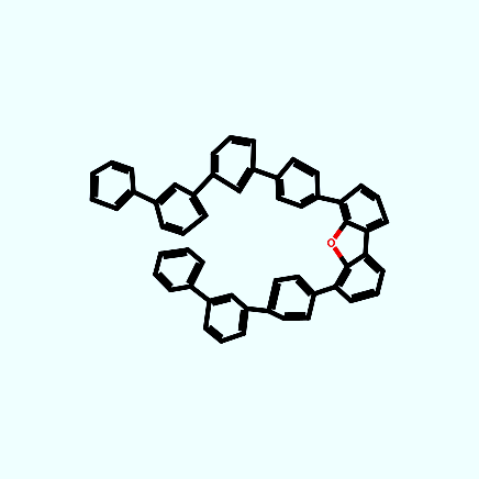 c1ccc(-c2cccc(-c3ccc(-c4cccc5c4oc4c(-c6ccc(-c7cccc(-c8cccc(-c9ccccc9)c8)c7)cc6)cccc45)cc3)c2)cc1